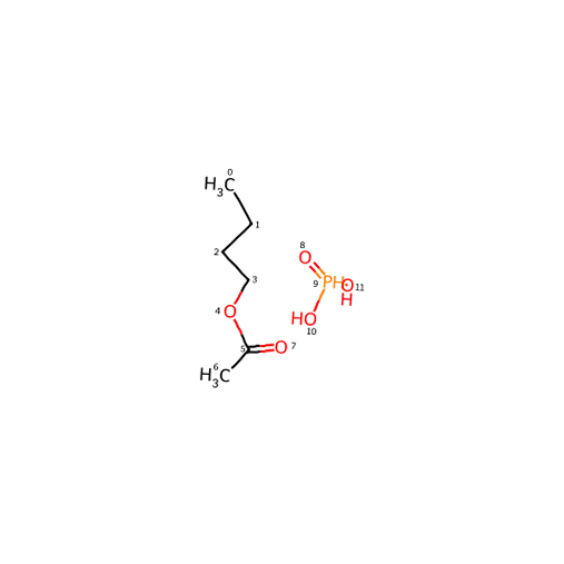 CCCCOC(C)=O.O=[PH](O)O